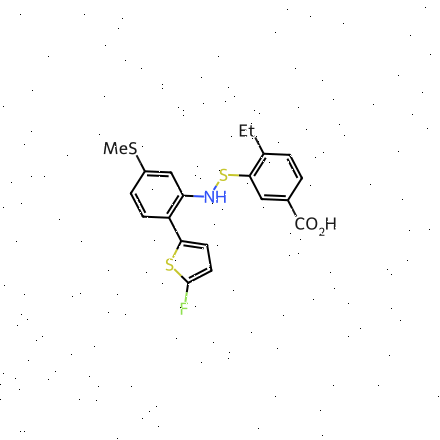 CCc1ccc(C(=O)O)cc1SNc1cc(SC)ccc1-c1ccc(F)s1